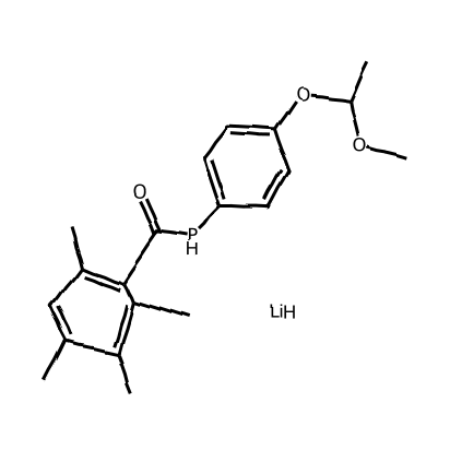 COC(C)Oc1ccc(PC(=O)c2c(C)cc(C)c(C)c2C)cc1.[LiH]